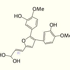 COc1ccc(-c2cc(/C=C/C(O)O)oc2-c2ccc(OC)c(O)c2)cc1O